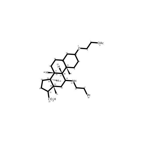 CC(=O)OCCOC1CC[C@@]2(C)C(CC[C@@H]3[C@H]2C(NCCC(C)C)C[C@]2(C)C(C(=O)O)CC[C@@H]32)C1